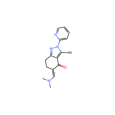 CC(C)c1c2c(nn1-c1ccccn1)CC/C(=C\N(C)C)C2=O